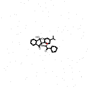 CC(C)c1ccc2c(c1)OC1(O)c3ccccc3C(=O)C21NC(=O)C(=O)c1ccccc1